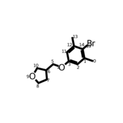 Cc1cc(OCC2CCOC2)cc(C)c1Br